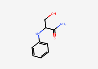 NC(=O)C(CO)Nc1ccccc1